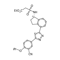 CCOC(=O)CS(=O)(=O)N[C@H]1CCc2c(-c3nnc(-c4ccc(OC(C)C)c(C#N)c4)s3)cccc21